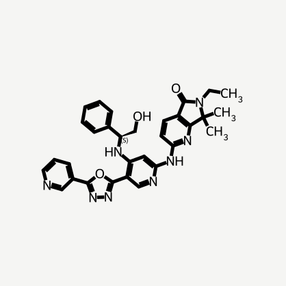 CCN1C(=O)c2ccc(Nc3cc(N[C@H](CO)c4ccccc4)c(-c4nnc(-c5cccnc5)o4)cn3)nc2C1(C)C